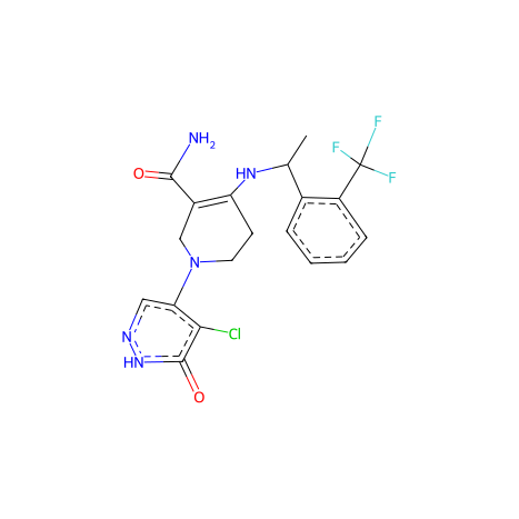 CC(NC1=C(C(N)=O)CN(c2cn[nH]c(=O)c2Cl)CC1)c1ccccc1C(F)(F)F